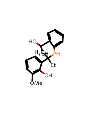 CCC(C)(Pc1ccccc1C(C)O)c1cccc(OC)c1O